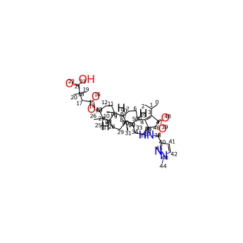 CC(C)C1=C2[C@H]3CC[C@@H]4[C@@]5(C)CC[C@H](OC(=O)CC(C)(C)C(=O)O)C(C)(C)[C@@H]5CC[C@@]4(C)[C@]3(C)CC[C@@]2(NC(=O)c2ccn(C)n2)CC1=O